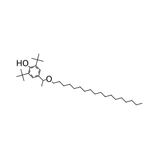 CCCCCCCCCCCCCCCCCCOC(C)c1cc(C(C)(C)C)c(O)c(C(C)(C)C)c1